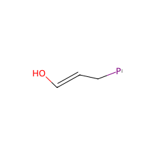 OC=CC[P]